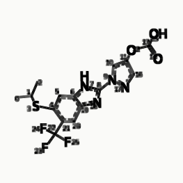 CC(C)Sc1cc2[nH]c(-n3cc(OC(=O)O)cn3)nc2cc1C(F)(F)F